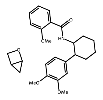 C1OC2CC12.COc1ccc(C2CCCCC2NC(=O)c2ccccc2OC)cc1OC